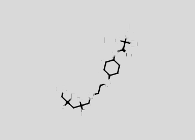 CCC(C)(C)C(=O)OC1CCC(OCCOCC(F)(F)CC(F)(F)CC(F)(F)F)CC1